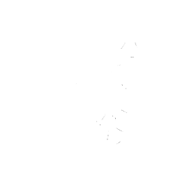 O=C(CCN1CCC2(CCc3ccccc32)CC1)n1c(CO)nc2ccccc21.O=C(O)CC(O)(CC(=O)O)C(=O)O